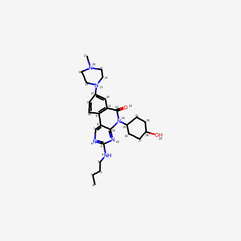 CCCCNc1ncc2c3ccc(N4CCN(C)CC4)cc3c(=O)n(C3CCC(O)CC3)c2n1